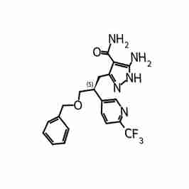 NC(=O)c1c(C[C@H](COCc2ccccc2)c2ccc(C(F)(F)F)nc2)n[nH]c1N